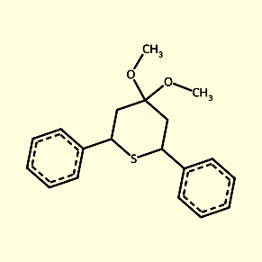 COC1(OC)CC(c2ccccc2)SC(c2ccccc2)C1